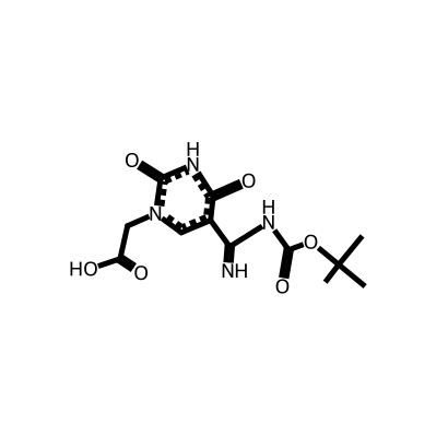 CC(C)(C)OC(=O)NC(=N)c1cn(CC(=O)O)c(=O)[nH]c1=O